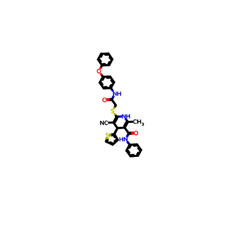 CC1=C(C(=O)Nc2ccccc2)C(c2cccs2)C(C#N)=C(SCC(=O)Nc2ccc(Oc3ccccc3)cc2)N1